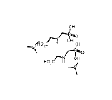 C[S+](C)C.C[S+](C)C.O=C(O)CNCP(=O)(O)O.O=C(O)CNCP(=O)(O)O